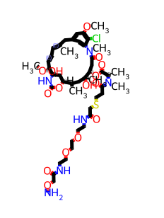 COc1cc2cc(c1Cl)N(C)C(=O)C[C@H](OC(=O)[C@H](C)N(C)C(=O)CCSCC(=O)NCCOCCOCCNC(=O)CON)[C@](C)(O)CC(C)[C@@H]1C[C@@](O)(NC(=O)O1)[C@H](OC)/C=C/C=C(\C)C2